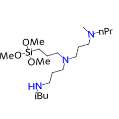 CCCN(C)CCCN(CCCNC(C)CC)CCC[Si](OC)(OC)OC